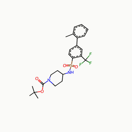 Cc1ccccc1-c1ccc(S(=O)(=O)NC2CCN(C(=O)OC(C)(C)C)CC2)c(C(F)(F)F)c1